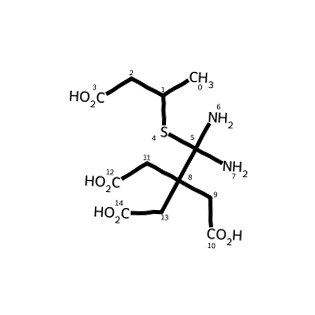 CC(CC(=O)O)SC(N)(N)C(CC(=O)O)(CC(=O)O)CC(=O)O